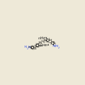 CCCCCCc1cc(Cc2ccc(N)cc2)ccc1CCCCCc1ccc(Cc2ccc(N)cc2)cc1CCCCCC